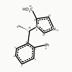 CC(C)c1ccccc1[C@H](C)n1cncc1C(=O)O